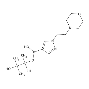 CC(C)(O)C(C)(C)OB(O)c1cnn(CCN2CCOCC2)c1